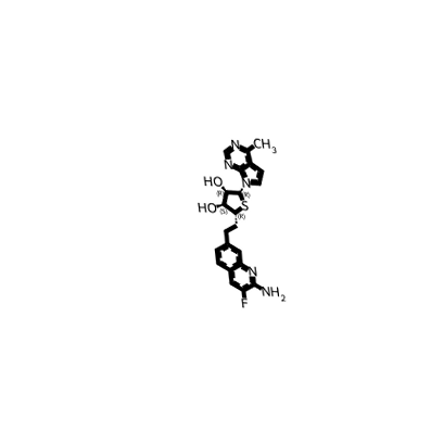 Cc1ncnc2c1ccn2[C@@H]1S[C@H](CCc2ccc3cc(F)c(N)nc3c2)[C@@H](O)[C@H]1O